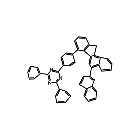 c1ccc(-c2nc(-c3ccccc3)nc(-c3ccc(-c4cccc5c4-c4cc(-c6ccc7ccccc7c6)c6ccccc6c4C5)cc3)n2)cc1